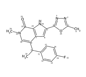 Cc1nnc(-c2cc3c(C(C)c4ccc(F)cc4)cn(C)c(=O)c3[nH]2)o1